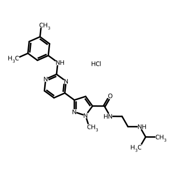 Cc1cc(C)cc(Nc2nccc(-c3cc(C(=O)NCCNC(C)C)n(C)n3)n2)c1.Cl